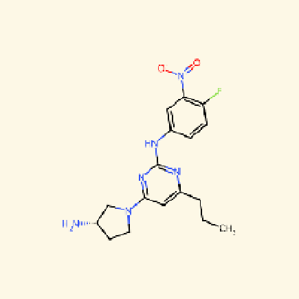 CCCc1cc(N2CC[C@H](N)C2)nc(Nc2ccc(F)c([N+](=O)[O-])c2)n1